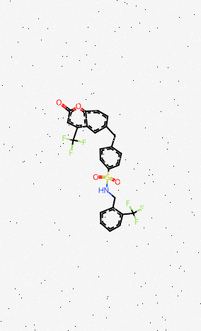 O=c1cc(C(F)(F)F)c2cc(Cc3ccc(S(=O)(=O)NCc4ccccc4C(F)(F)F)cc3)ccc2o1